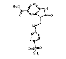 CC(C)COC(=O)c1ccc2c(c1)/C(=C\Nc1ccc(S(N)(=O)=O)cc1)C(=O)N2